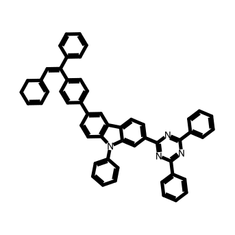 C1=CCCC(/C=C(/c2ccccc2)c2ccc(-c3ccc4c(c3)c3ccc(-c5nc(-c6ccccc6)nc(-c6ccccc6)n5)cc3n4-c3ccccc3)cc2)=C1